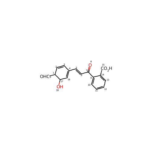 O=CC1C=CC(/C=C/C(=O)c2ccccc2C(=O)O)=CC1O